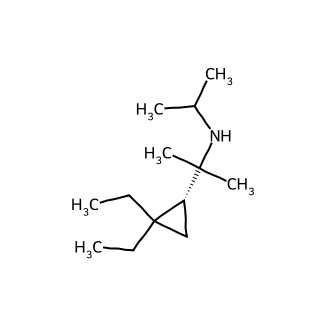 CCC1(CC)C[C@H]1C(C)(C)NC(C)C